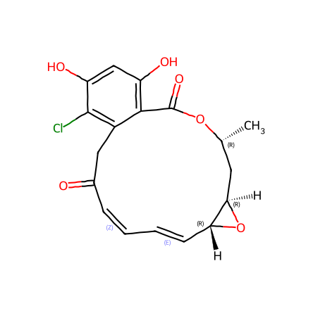 C[C@@H]1C[C@H]2O[C@@H]2/C=C/C=C\C(=O)Cc2c(Cl)c(O)cc(O)c2C(=O)O1